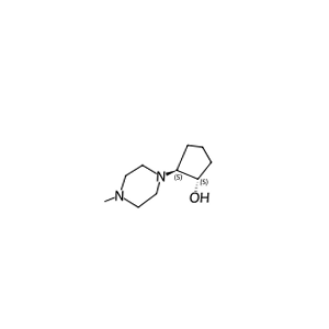 CN1CCN([C@H]2CCC[C@@H]2O)CC1